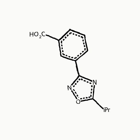 CC(C)c1nc(-c2cccc(C(=O)O)c2)no1